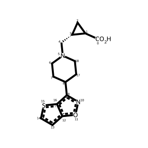 O=C(O)C1C[C@H]1CN1CCC(c2noc3ccsc23)CC1